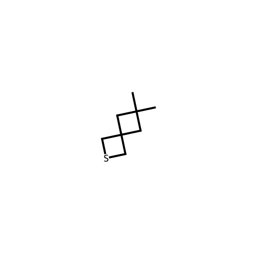 CC1(C)CC2(CSC2)C1